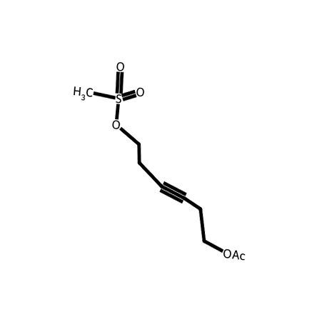 CC(=O)OCCC#CCCOS(C)(=O)=O